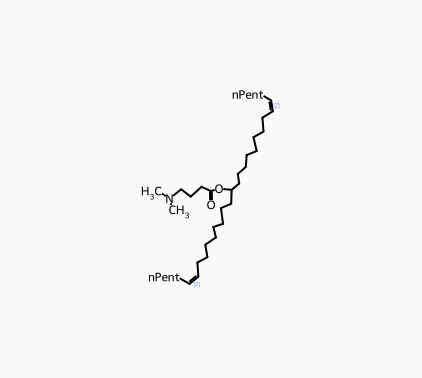 CCCCC/C=C\CCCCCCCCC(CCCCCCCC/C=C\CCCCC)OC(=O)CCCN(C)C